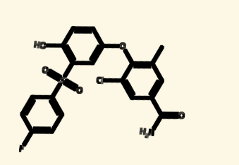 Cc1cc(C(N)=O)cc(Cl)c1Oc1ccc(O)c(S(=O)(=O)c2ccc(F)cc2)c1